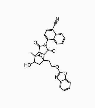 CC12OC(CCOc3nc4ccccc4o3)(CC1O)C1C(=O)N(c3ccc(C#N)c4ccccc34)C(=O)C12